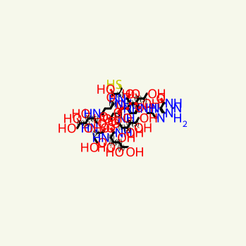 C[C@H](CCC(=O)N[C@H](C(=O)N[C@@H](CC(=O)O)C(=O)N[C@H](C(=O)N[C@H](C(=O)N[C@@H](CC(=O)O)C(=O)N[C@H](C(=O)N[C@H](CS)C(=O)O)[C@H](O)[C@@H](O)[C@@H](O)CO)[C@H](O)[C@@H](O)[C@@H](O)CO)[C@@H](O)[C@H](O)[C@H](O)CO)[C@@H](O)[C@H](O)[C@H](O)CO)NC(=O)c1ccc(NCc2cnc3nc(N)[nH]c(=O)c3n2)cc1